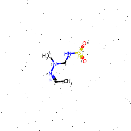 C/C=N\N(C)CN[SH](=O)=O